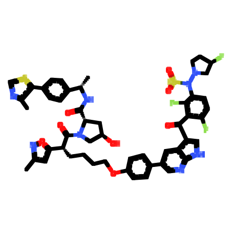 Cc1cc([C@@H](CCCCOc2ccc(-c3cnc4[nH]cc(C(=O)c5c(F)ccc(N(N6CC[C@@H](F)C6)[SH](=O)=O)c5F)c4c3)cc2)C(=O)N2C[C@H](O)C[C@H]2C(=O)N[C@@H](C)c2ccc(-c3scnc3C)cc2)on1